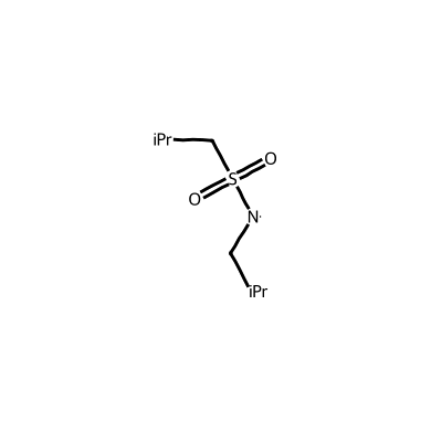 CC(C)C[N]S(=O)(=O)CC(C)C